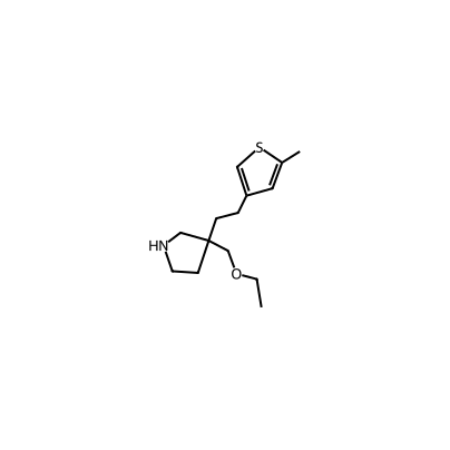 CCOCC1(CCc2csc(C)c2)CCNC1